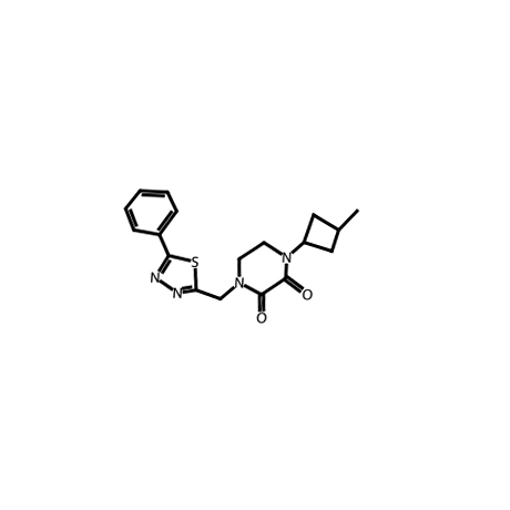 CC1CC(N2CCN(Cc3nnc(-c4ccccc4)s3)C(=O)C2=O)C1